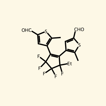 CCC1(F)C(c2cc(C=O)sc2C)=C(c2cc(C=O)sc2C)C(F)(F)C1(F)F